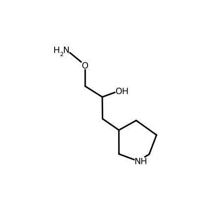 NOCC(O)CC1CCCNC1